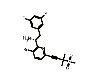 CC(C)(C#Cc1ccc(Br)c([C@H](N)Cc2cc(F)cc(F)c2)n1)S(C)(=O)=O